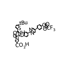 CC(C)(C)c1ccc(C(=O)N[C@@H](Cc2ccc(-c3ncc(-c4ccc(OS(=O)(=O)C(F)(F)F)cc4)cn3)cc2)C(=O)N2CC(C(=O)O)C2)s1